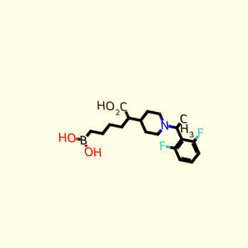 CC(c1c(F)cccc1F)N1CCC(C(CCCCB(O)O)C(=O)O)CC1